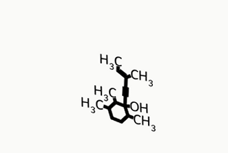 CC=C(C)C#CC1(O)C(C)CCC(C)C1C